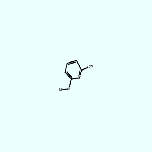 CCOc1cccc(C#N)c1